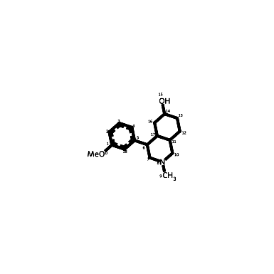 COc1cccc(C2CN(C)CC3CCC(O)CC32)c1